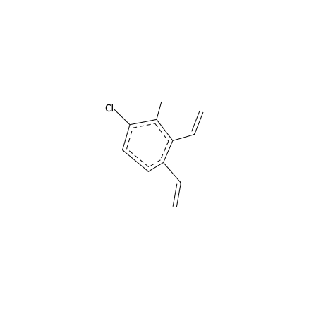 C=Cc1ccc(Cl)c(C)c1C=C